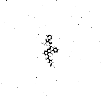 CC(NC(=O)c1c(N)nn2cccnc12)c1cc2cccc(CC(=O)c3cnn(C)c3)c2c(=O)n1-c1ccccc1